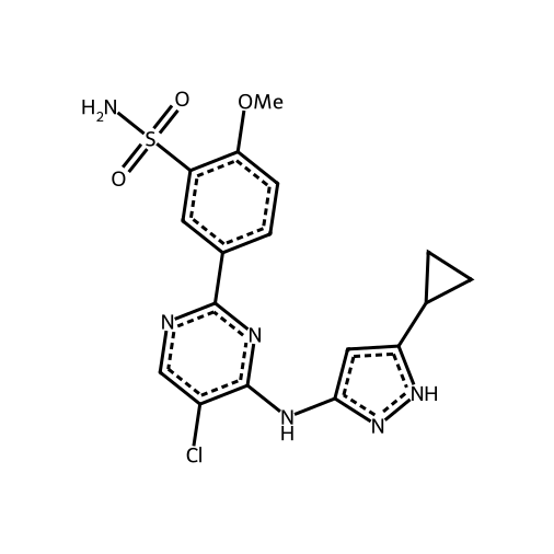 COc1ccc(-c2ncc(Cl)c(Nc3cc(C4CC4)[nH]n3)n2)cc1S(N)(=O)=O